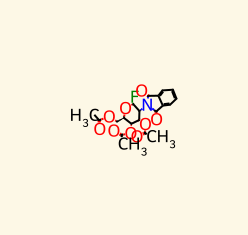 CC(=O)OC[C@H]1O[C@H](F)[C@@H](N2C(=O)c3ccccc3C2=O)[C@@H](OC(C)=O)[C@@H]1OC(C)=O